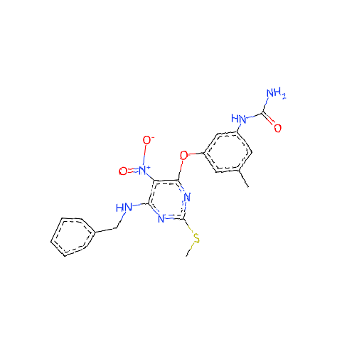 CSc1nc(NCc2ccccc2)c([N+](=O)[O-])c(Oc2cc(C)cc(NC(N)=O)c2)n1